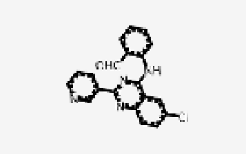 O=Cc1ccccc1Nc1nc(-c2cccnc2)nc2ccc(Cl)cc12